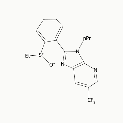 CCCn1c(-c2ccccc2[S+]([O-])CC)nc2cc(C(F)(F)F)cnc21